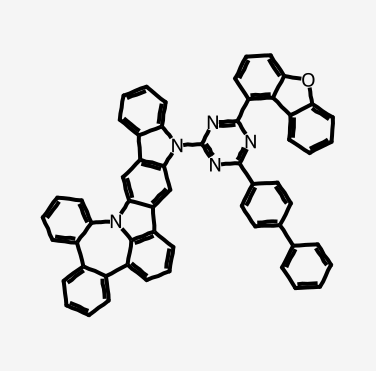 c1ccc(-c2ccc(-c3nc(-c4cccc5oc6ccccc6c45)nc(-n4c5ccccc5c5cc6c(cc54)c4cccc5c4n6-c4ccccc4-c4ccccc4-5)n3)cc2)cc1